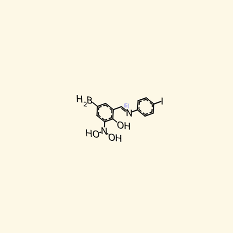 Bc1cc(/C=N/c2ccc(I)cc2)c(O)c(N(O)O)c1